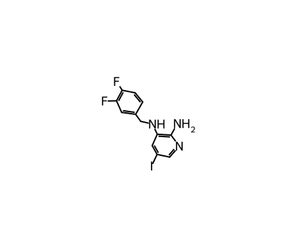 Nc1ncc(I)cc1NCc1ccc(F)c(F)c1